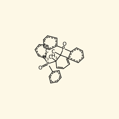 CC1(P(=O)(c2ccccc2)c2ccccc2)C=CC=CC1(C)P(=O)(c1ccccc1)c1ccccc1